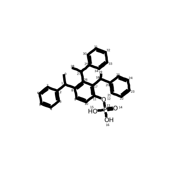 CC(c1ccccc1)c1ccc(OP(=O)(O)O)c(C(C)c2ccccc2)c1C(C)c1ccccc1